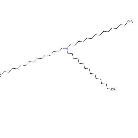 CCCCCCCCCCCCCCCCN(CCCCCCCCCCCCCCC)CCCCCCCCCCCCCCCC